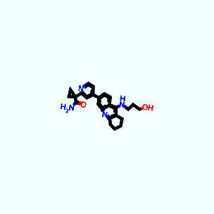 NC(=O)C1(c2cc(-c3ccc4c(NCCCO)c5c(nc4c3)CCCC5)ccn2)CC1